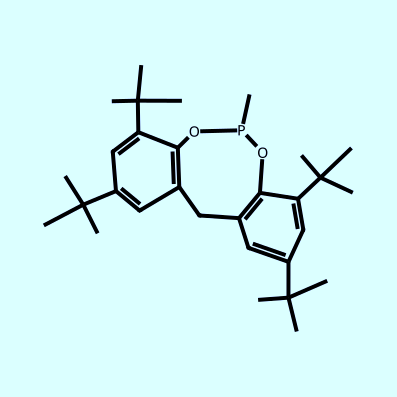 CP1Oc2c(cc(C(C)(C)C)cc2C(C)(C)C)Cc2cc(C(C)(C)C)cc(C(C)(C)C)c2O1